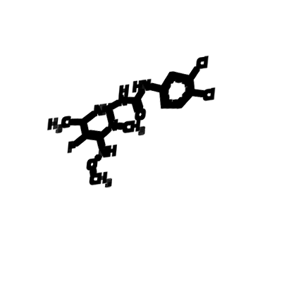 CONC1=C(F)C(C)NC(NC(=O)Nc2ccc(Cl)c(Cl)c2)N1C